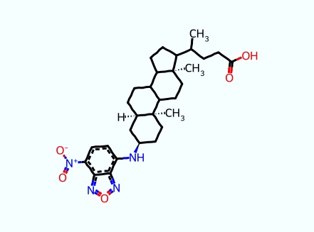 CC(CCC(=O)O)C1CCC2C3CC[C@@H]4C[C@H](Nc5ccc([N+](=O)[O-])c6nonc56)CC[C@]4(C)C3CC[C@]12C